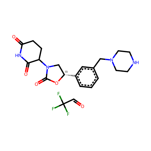 O=C1CCC(N2C[C@H](c3cccc(CN4CCNCC4)c3)OC2=O)C(=O)N1.O=CC(F)(F)F